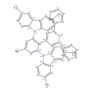 N#Cc1cc(-n2c3ccc(C(F)(F)F)cc3c3cc(C(F)(F)F)ccc32)c(-c2cc(-c3ccccc3)nc(-c3ccccc3)c2)c(-n2c3ccc(C(F)(F)F)cc3c3cc(C(F)(F)F)ccc32)c1